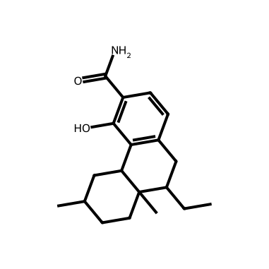 CCC1Cc2ccc(C(N)=O)c(O)c2C2CC(C)CCC12C